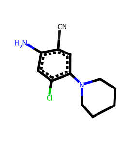 N#Cc1cc(N2CCCCC2)c(Cl)cc1N